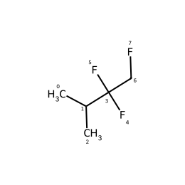 CC(C)C(F)(F)CF